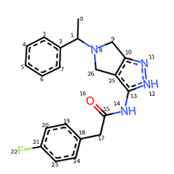 CC(c1ccccc1)N1Cc2n[nH]c(NC(=O)Cc3ccc(F)cc3)c2C1